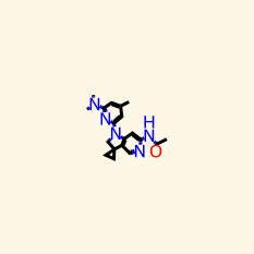 CC(=O)Nc1cc2c(cn1)C1(CC1)CN2c1cc(C)cc(N(C)C)n1